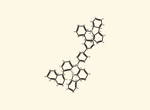 c1cc(-c2ccc(N(c3cccc(-c4cccc5ccccc45)c3)c3cccc4c3oc3ccccc34)cc2)cc(-c2ccccc2-n2c3ccccc3c3ccccc32)c1